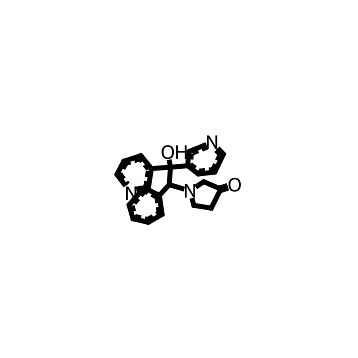 O=C1CCN(C(c2ccccc2)C(O)(c2cccnc2)c2cccnc2)C1